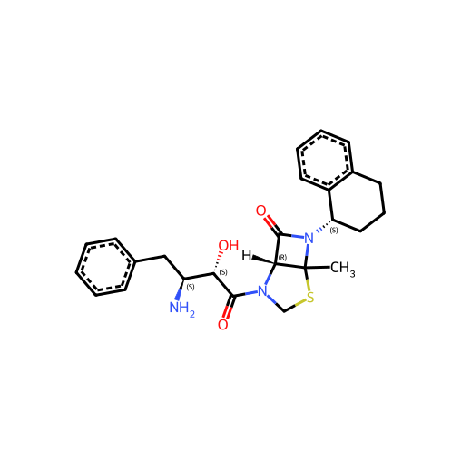 CC12SCN(C(=O)[C@@H](O)[C@@H](N)Cc3ccccc3)[C@@H]1C(=O)N2[C@H]1CCCc2ccccc21